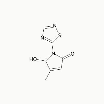 CC1=CC(=O)N(c2ncns2)C1O